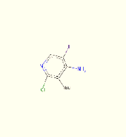 CCC(C)c1c(Cl)ncc(I)c1N